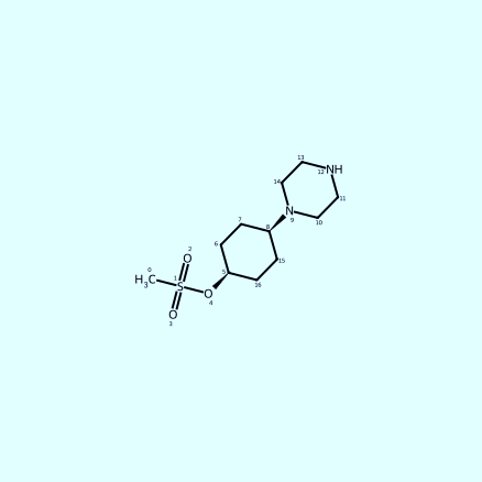 CS(=O)(=O)O[C@H]1CC[C@@H](N2CCNCC2)CC1